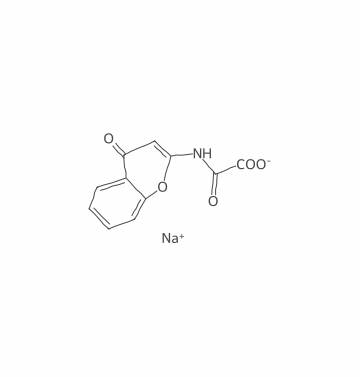 O=C([O-])C(=O)Nc1cc(=O)c2ccccc2o1.[Na+]